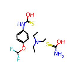 CCN(CC)CC.NC(O)=S.OC(=S)Nc1ccc(OC(F)F)cc1